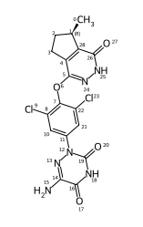 C[C@@H]1CCc2c(Oc3c(Cl)cc(-n4nc(N)c(=O)[nH]c4=O)cc3Cl)n[nH]c(=O)c21